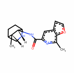 Cc1nc(C(=O)N[C@H]2C3CCC(CN3)[C@H]2C)cc2ccoc12